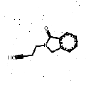 C#CCCN1Cc2ccccc2C1=O